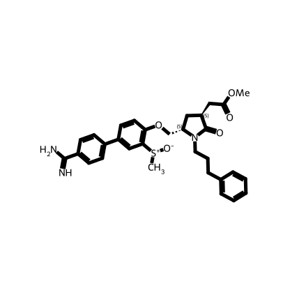 COC(=O)C[C@@H]1C[C@@H](COc2ccc(-c3ccc(C(=N)N)cc3)cc2[S+](C)[O-])N(CCCc2ccccc2)C1=O